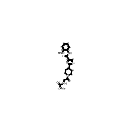 COC(=O)NCC(=O)N1CCC(c2nc(C(=O)Nc3ccccc3C(C)(C)C)cs2)CC1